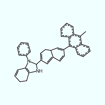 Cc1c2ccccc2c(C2=CC3CC=C(C4NC5=C(C=CCC5)N4c4ccccc4)C=C3C=C2)c2ccccc12